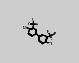 FC(F)(F)c1cc(-c2ccc(Cl)c(C(F)(F)F)c2)ccc1Cl